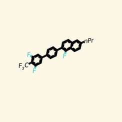 CCCc1ccc2c(F)c(-c3ccc(-c4cc(F)c(C(F)(F)F)c(F)c4)cc3)ccc2c1